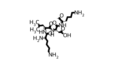 CC(C)C[C@H](NC(=O)[C@@H](N)CCCCN)C(=O)N[C@@H](CC(=O)O)C(=O)N[C@H]([C]=O)CCCCN